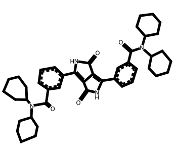 O=C1NC(c2cccc(C(=O)N(C3CCCCC3)C3CCCCC3)c2)=C2C(=O)NC(c3cccc(C(=O)N(C4CCCCC4)C4CCCCC4)c3)=C12